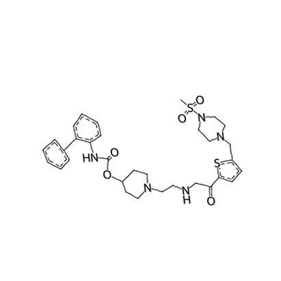 CS(=O)(=O)N1CCN(Cc2ccc(C(=O)CNCCN3CCC(OC(=O)Nc4ccccc4-c4ccccc4)CC3)s2)CC1